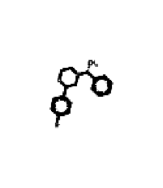 C[C@H](c1ccccc1)N1CCOC(c2ccc(Br)cc2)C1